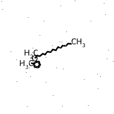 [CH2]C(CCCCCCCCCCCCCC)Oc1ccccc1C